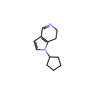 [CH]1CCC(n2ccc3c2CCN=C3)C1